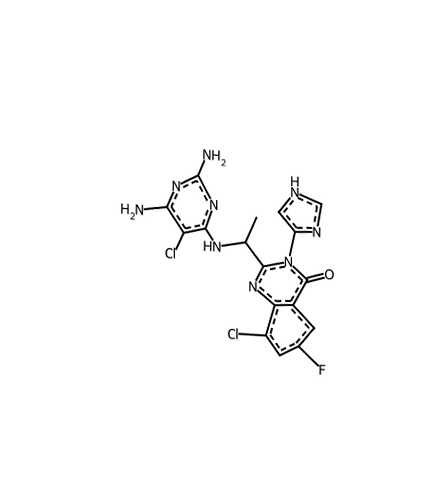 CC(Nc1nc(N)nc(N)c1Cl)c1nc2c(Cl)cc(F)cc2c(=O)n1-c1c[nH]cn1